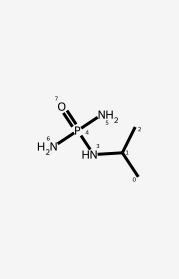 CC(C)NP(N)(N)=O